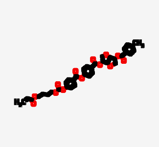 C=CC(=O)OCCCCOC(=O)Oc1ccc(C(=O)Oc2ccc(C(=O)O[C@@H]3COC4C(OC(=O)c5ccc(C)cc5)COC43)cc2)cc1